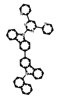 c1ccc(-c2cc(-c3ccccn3)nc(-n3c4ccccc4c4cc(-c5ccc6c(c5)c5ccccc5n6-c5cccc6ccccc56)ccc43)n2)nc1